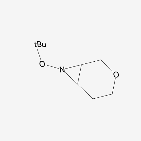 CC(C)(C)ON1C2CCOCC21